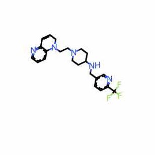 FC(F)(F)c1ccc(CNC2CCN(CCN3CC=Cc4ncccc43)CC2)cn1